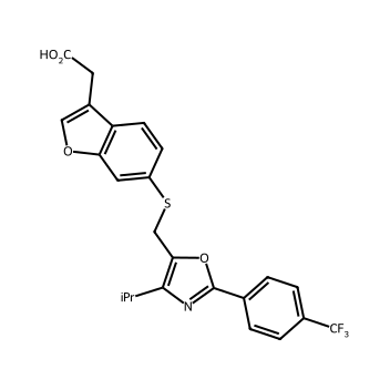 CC(C)c1nc(-c2ccc(C(F)(F)F)cc2)oc1CSc1ccc2c(CC(=O)O)coc2c1